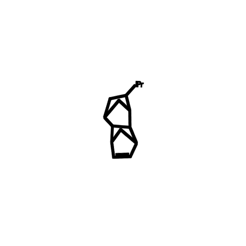 CC(C)C1CC2CC1C1C3C=CC(C3)C21